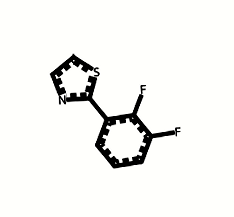 Fc1cccc(-c2nc[c]s2)c1F